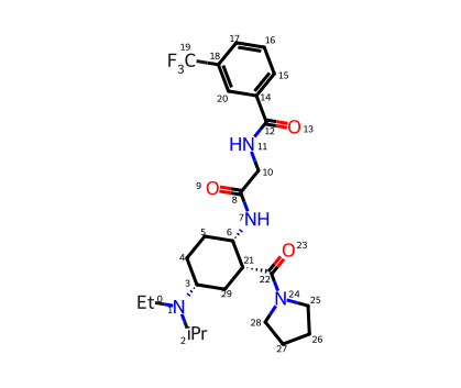 CCN(C(C)C)[C@@H]1CC[C@H](NC(=O)CNC(=O)c2cccc(C(F)(F)F)c2)[C@H](C(=O)N2CCCC2)C1